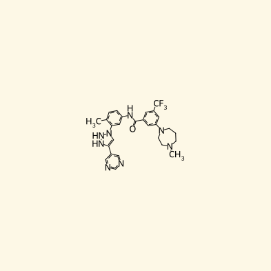 Cc1ccc(NC(=O)c2cc(N3CCCN(C)CC3)cc(C(F)(F)F)c2)cc1N1C=C(c2cncnc2)NN1